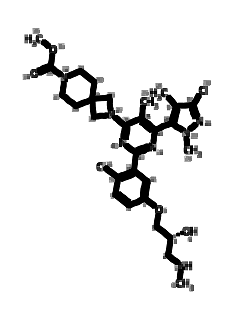 CNC[C@@H](O)COc1ccc(Cl)c(-c2nc(-c3c(C)c(Cl)nn3C)c(C)c(N3CC4(CCN(C(=O)OC)CC4)C3)n2)c1